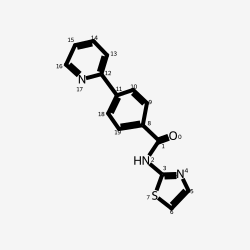 O=C(Nc1nccs1)c1ccc(-c2ccccn2)cc1